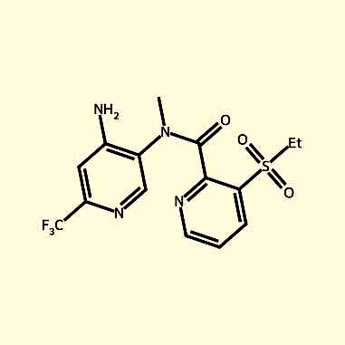 CCS(=O)(=O)c1cccnc1C(=O)N(C)c1cnc(C(F)(F)F)cc1N